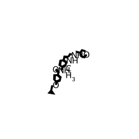 Cc1c(NC(=O)c2ccc(OCC3CC3)cc2)ccc2cc(CNCC3CCOCC3)[nH]c12